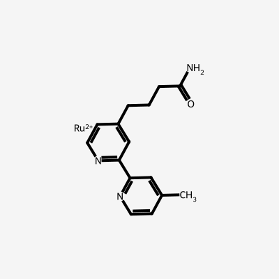 Cc1ccnc(-c2cc(CCCC(N)=O)ccn2)c1.[Ru+2]